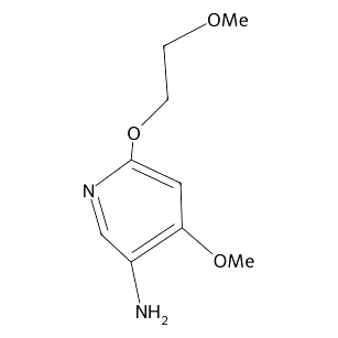 COCCOc1cc(OC)c(N)cn1